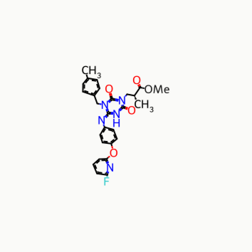 COC(=O)[C@@H](C)Cn1c(=O)[nH]/c(=N\c2ccc(Oc3cccc(F)n3)cc2)n(Cc2ccc(C)cc2)c1=O